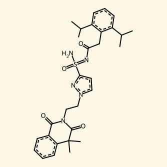 CC(C)c1cccc(C(C)C)c1CC(=O)N=S(N)(=O)c1ccn(CCN2C(=O)c3ccccc3C(C)(C)C2=O)n1